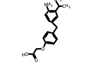 CC(C)c1cc(Cc2ccc(OCC(=O)O)cc2)ccc1N